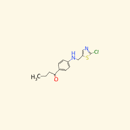 CCCC(=O)c1ccc(NCc2cnc(Cl)s2)cc1